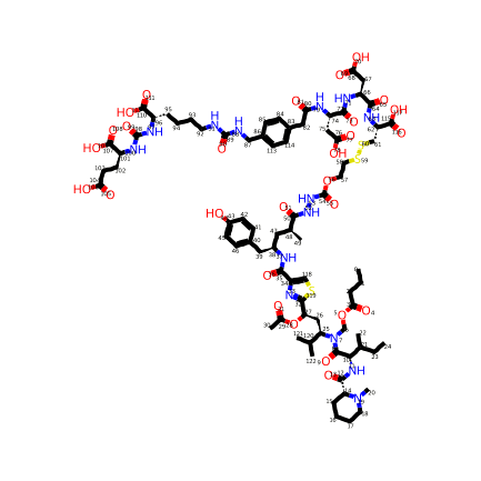 CCCC(=O)OCN(C(=O)[C@@H](NC(=O)[C@H]1CCCCN1C)C(C)CC)[C@H](C[C@@H](OC(C)=O)c1nc(C(=O)N[C@@H](Cc2ccc(O)cc2)C[C@H](C)C(=O)NNC(=O)OCCSSC[C@H](NC(=O)[C@H](CC(=O)O)NC(=O)[C@H](CC(=O)O)NC(=O)Cc2ccc(CNC(=O)NCCCC[C@H](NC(=O)N[C@@H](CCC(=O)O)C(=O)O)C(=O)O)cc2)C(=O)O)cs1)C(C)C